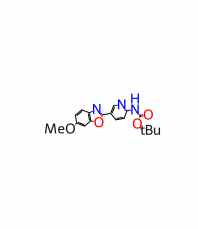 COc1ccc2nc(-c3ccc(NC(=O)OC(C)(C)C)nc3)oc2c1